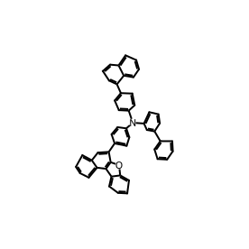 c1ccc(-c2cccc(N(c3ccc(-c4cccc5ccccc45)cc3)c3ccc(-c4cc5ccccc5c5c4oc4ccccc45)cc3)c2)cc1